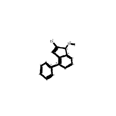 CCC1=Cc2c(-c3ccccc3)cccc2[CH]1[Zr][CH3]